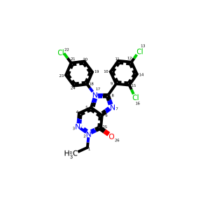 CCn1ncc2c(nc(-c3ccc(Cl)cc3Cl)n2-c2ccc(Cl)cc2)c1=O